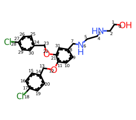 OCCNCCNCc1ccc(OCc2ccc(Cl)cc2)c(OCc2ccc(Cl)cc2)c1